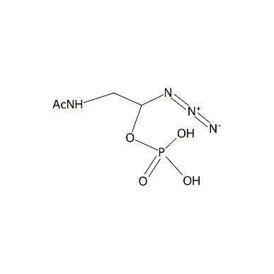 CC(=O)NCC(N=[N+]=[N-])OP(=O)(O)O